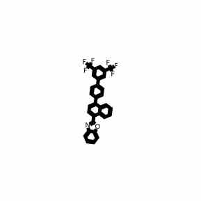 FC(F)(F)c1cc(-c2ccc(-c3ccc(-c4nc5ccccc5o4)c4ccccc34)cc2)cc(C(F)(F)F)c1